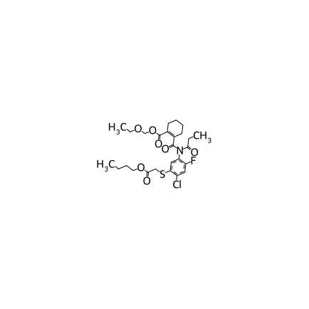 CCCCOC(=O)CSc1cc(N(C(=O)CC)C(=O)C2=C(C(=O)OCOCC)CCCC2)c(F)cc1Cl